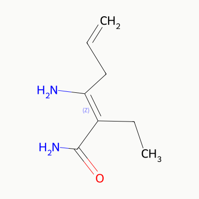 C=CC/C(N)=C(\CC)C(N)=O